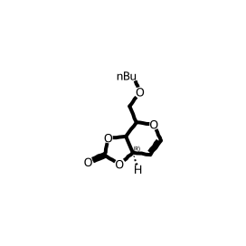 CCCCOCC1OC=C[C@H]2OC(=O)OC12